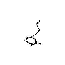 CCCn1cncc1C